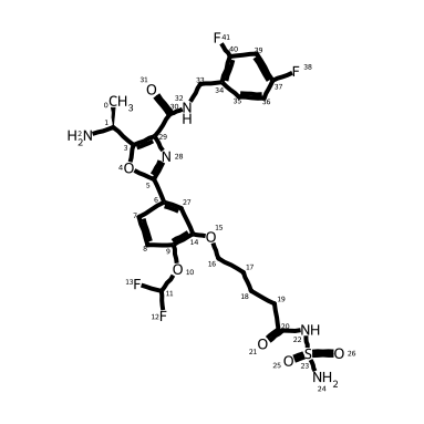 C[C@H](N)c1oc(-c2ccc(OC(F)F)c(OCCCCC(=O)NS(N)(=O)=O)c2)nc1C(=O)NCc1ccc(F)cc1F